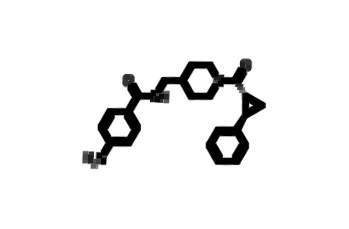 Nc1ccc(C(=O)NCC2CCN(C(=O)[C@@H]3C[C@H]3c3ccccc3)CC2)cc1